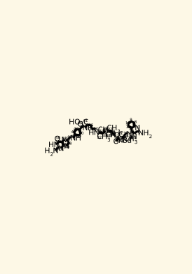 CCCCc1nc2c(N)nc3ccccc3c2n1CC(C)(C)OC(=O)OCCC(C)(C)OCC(C)(C)NCCCC(NC(=O)c1ccc(NCc2cnc3nc(N)[nH]c(=O)c3n2)cc1)C(=O)O